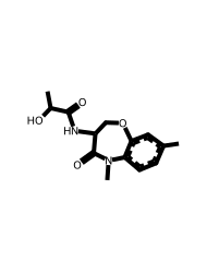 Cc1ccc2c(c1)OCC(NC(=O)C(C)O)C(=O)N2C